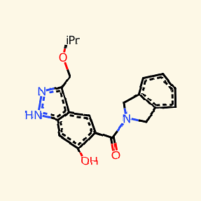 CC(C)OCc1n[nH]c2cc(O)c(C(=O)N3Cc4ccccc4C3)cc12